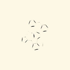 [Cl-].[Cl-].[Zr+2][c]1cccc2c1C(C1=CC=CC1)c1ccccc1-2.c1ccc(Cc2ccccc2)cc1